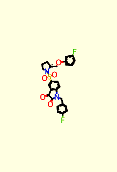 O=C1C(=O)N(Cc2ccc(F)cc2)c2ccc(S(=O)(=O)N3CCC[C@H]3COc3cccc(F)c3)cc21